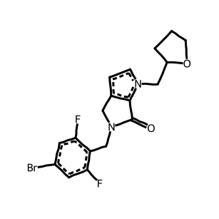 O=C1c2c(ccn2CC2CCCO2)CN1Cc1c(F)cc(Br)cc1F